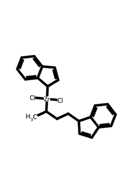 C[CH](CCC1C=Cc2ccccc21)[Zr]([Cl])([Cl])[CH]1C=Cc2ccccc21